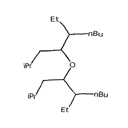 CCCCC(CC)C(CC(C)C)OC(CC(C)C)C(CC)CCCC